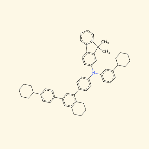 CC1(C)c2ccccc2-c2ccc(N(c3ccc(-c4cc(-c5ccc(C6CCCCC6)cc5)cc5c4CCCC5)cc3)c3cccc(C4CCCCC4)c3)cc21